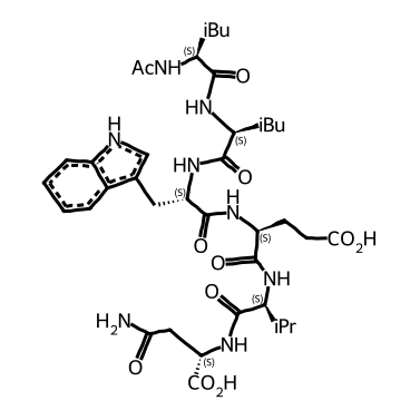 CCC(C)[C@H](NC(C)=O)C(=O)N[C@H](C(=O)N[C@@H](Cc1c[nH]c2ccccc12)C(=O)N[C@@H](CCC(=O)O)C(=O)N[C@H](C(=O)N[C@@H](CC(N)=O)C(=O)O)C(C)C)C(C)CC